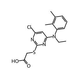 CCN(c1cc(Cl)nc(SCC(=O)O)n1)c1cccc(C)c1C